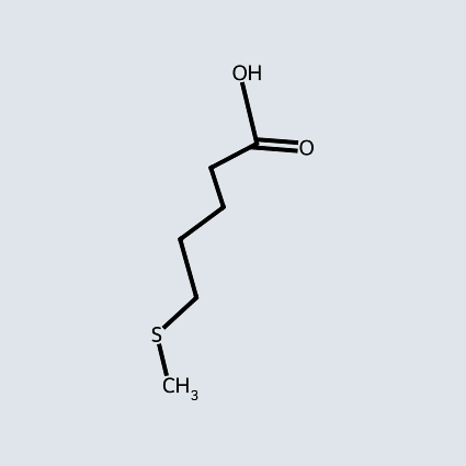 CSCCCCC(=O)O